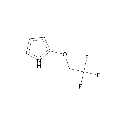 FC(F)(F)COc1ccc[nH]1